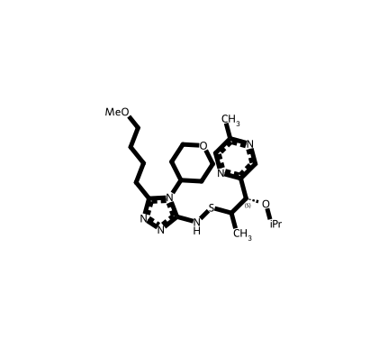 COCCCCc1nnc(NSC(C)[C@@H](OC(C)C)c2cnc(C)cn2)n1C1CCOCC1